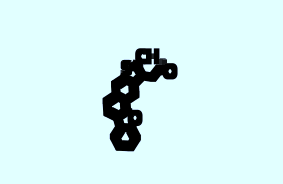 C=C1Sc2cc3ccc4c5ccccc5oc4c3cc2C1CC=O